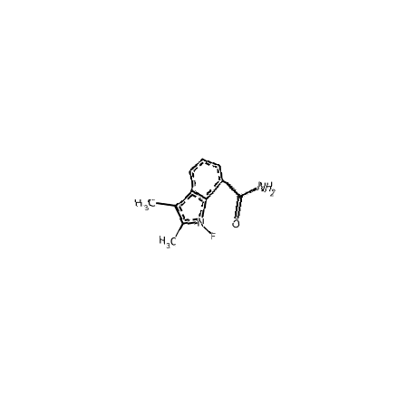 Cc1c(C)n(F)c2c(C(N)=O)cccc12